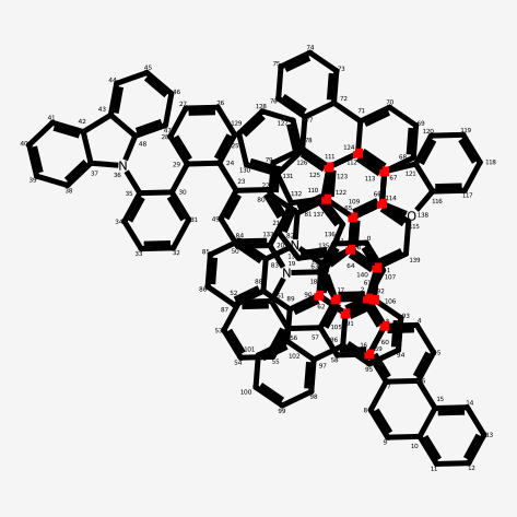 c1cc(-c2ccc3c(ccc4ccccc43)c2)cc(N(c2ccc(-c3ccccc3-c3ccccc3-n3c4ccccc4c4ccccc43)cc2)c2ccccc2-c2cccc3c2oc2cc(-c4cccc(-c5ccccc5-c5ccc(N(c6ccccc6-c6cc7ccccc7c7ccccc67)c6ccccc6-c6cccc7c6oc6ccccc67)cc5)c4-n4c5ccccc5c5ccccc54)ccc23)c1